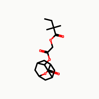 CCC(C)(C)C(=O)OCC(=O)OC1C2CC3CC1CC(C2)C(=O)O3